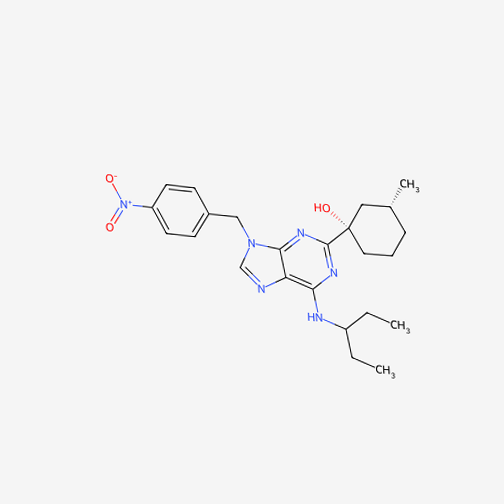 CCC(CC)Nc1nc([C@]2(O)CCC[C@@H](C)C2)nc2c1ncn2Cc1ccc([N+](=O)[O-])cc1